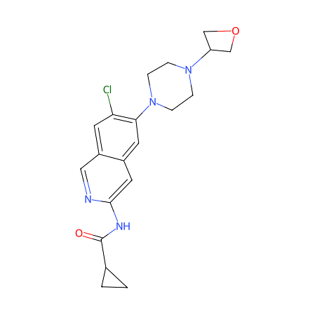 O=C(Nc1cc2cc(N3CCN(C4COC4)CC3)c(Cl)cc2cn1)C1CC1